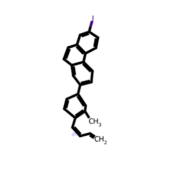 C=C/C=C\c1ccc(-c2ccc3c(ccc4cc(I)ccc43)c2)cc1C